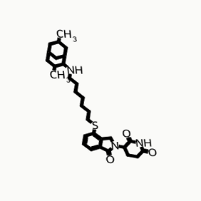 CC1CC2CC(C)C(NCCCCCCCSc3cccc4c3CN(C3CCC(=O)NC3=O)C4=O)C(C1)C2